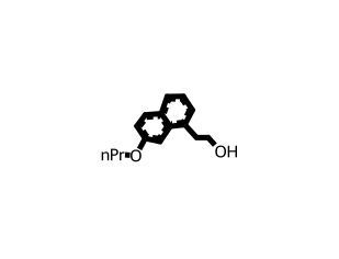 CCCOc1ccc2cccc(CCO)c2c1